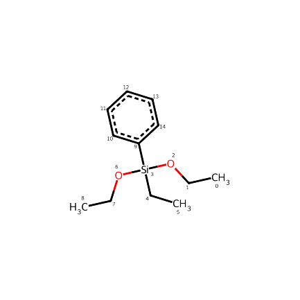 CCO[Si](CC)(OCC)c1ccccc1